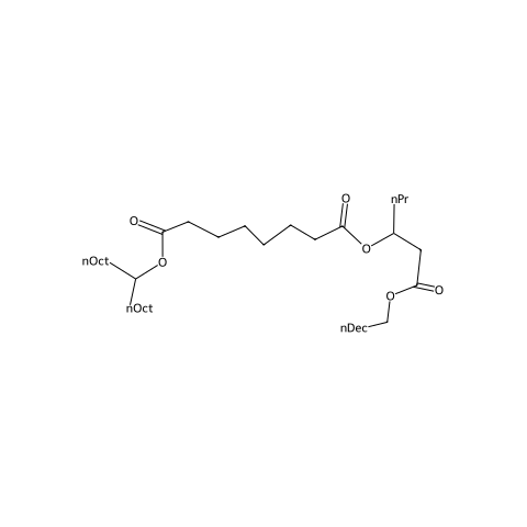 [CH2]CCC(CC(=O)OCCCCCCCCCCC)OC(=O)CCCCCCC(=O)OC(CCCCCCCC)CCCCCCCC